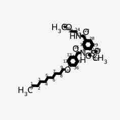 CCCCCCCCCCOc1ccc(C(=O)Nc2cc(C(=O)NCCOC)ccc2S(C)(=O)=O)cc1